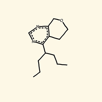 CCCC(CCC)c1ncnc2c1CCOC2